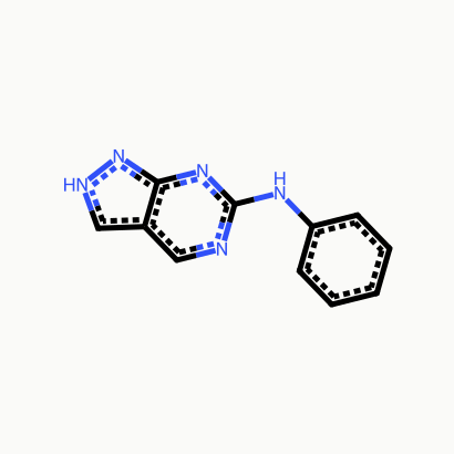 c1ccc(Nc2ncc3c[nH]nc3n2)cc1